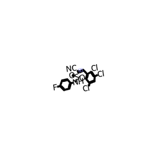 N#C/C(=C/c1cc(Cl)cc(Cl)c1Cl)S(=O)(=O)Nc1ccc(F)cc1